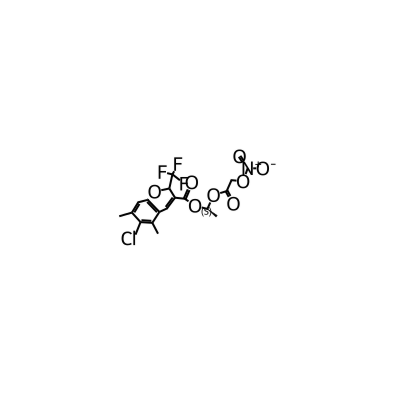 Cc1cc2c(c(C)c1Cl)C=C(C(=O)O[C@H](C)OC(=O)CO[N+](=O)[O-])C(C(F)(F)F)O2